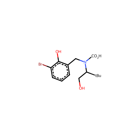 CC(C)(C)C(CO)N(Cc1cccc(Br)c1O)C(=O)O